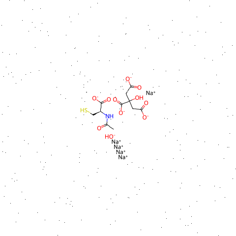 CC(=O)N[C@@H](CS)C(=O)[O-].O=C([O-])CC(O)(CC(=O)[O-])C(=O)[O-].[Na+].[Na+].[Na+].[Na+].[Na+].[OH-]